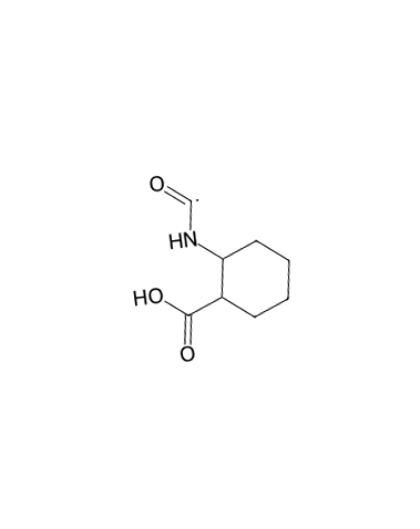 O=[C]NC1CCCCC1C(=O)O